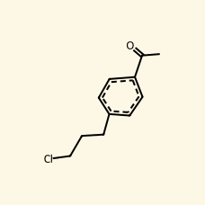 CC(=O)c1ccc(CCCCl)cc1